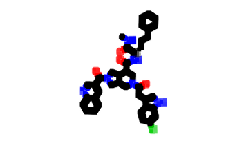 CNC(=O)[C@H](CCCc1ccccc1)NC(=O)C1CN(C(=O)Cc2c[nH]c3cc(Cl)ccc23)CC2CN(C(=O)c3cnc4ccccc4c3)CC21